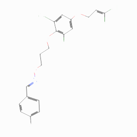 FC(F)(F)c1ccc(C=NOCCCOc2c(Cl)cc(OCC=C(Cl)Cl)cc2Cl)cc1